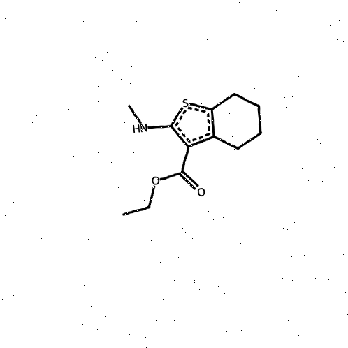 CCOC(=O)c1c(NC)sc2c1CCCC2